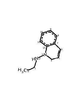 CCNN1CC=Cc2ccccc21